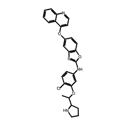 CC(Oc1cc(Nc2nc3cc(Oc4ccnc5ccccc45)ccc3o2)ccc1Cl)C1CCCN1